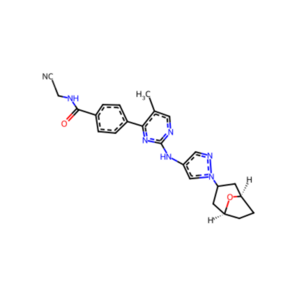 Cc1cnc(Nc2cnn(C3C[C@H]4CC[C@@H](C3)O4)c2)nc1-c1ccc(C(=O)NCC#N)cc1